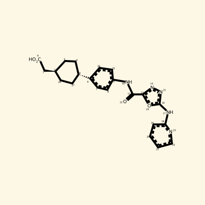 O=C(O)C[C@H]1CC[C@H](c2ccc(NC(=O)c3nnc(Nc4ccccn4)o3)cc2)CC1